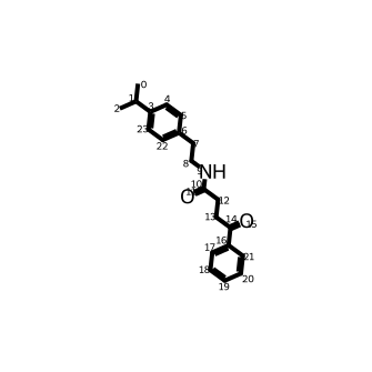 CC(C)c1ccc(CCNC(=O)CCC(=O)c2ccccc2)cc1